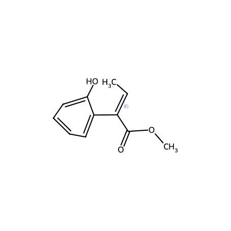 C/C=C(/C(=O)OC)c1ccccc1O